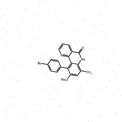 CCC(C)c1ccc(-c2c(OC)cc(C)c3[nH]c(=O)c4cccnc4c23)cc1